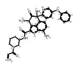 C=CC(=O)N1CCCC(NC(=O)c2sc3c(N)ccc4c3c2C(N)C(=O)C4(N)c2ccc(Oc3ccccc3)cn2)C1